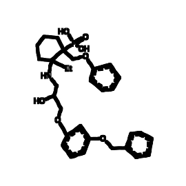 CCC1(NCC(O)COc2cccc(OCc3ccccc3)c2)CCCCC1(COc1ccccc1)P(=O)(O)O